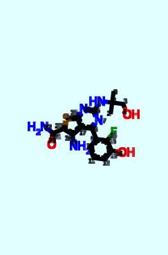 CC(C)(CO)Nc1nc(-c2cccc(O)c2F)c2c(N)c(C(N)=O)sc2n1